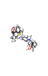 COc1ccc(N2CCCc3cc(/C=C/C4=C(Sc5c(C(C)C)cccc5C(C)C)C(=C/C=O)/CC(C)(C)C4)ccc32)cc1C12CC3CC(CC(C3)C1)C2